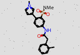 CNS(=O)(=O)c1cc(NC(=O)Cc2ccccc2C)ccc1-c1ccn(C)c1